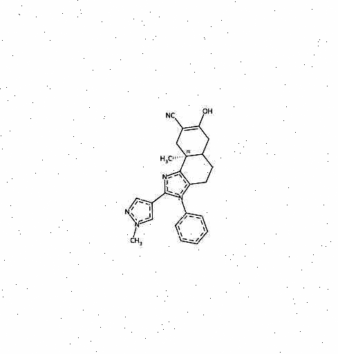 Cn1cc(-c2nc3c(n2-c2ccccc2)CCC2CC(O)=C(C#N)C[C@]32C)cn1